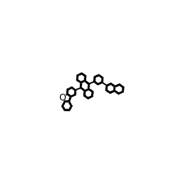 c1cc(-c2ccc3ccccc3c2)cc(-c2c3ccccc3c(-c3ccc4oc5ccccc5c4c3)c3ccccc23)c1